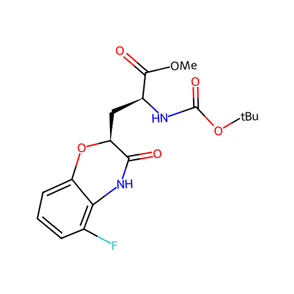 COC(=O)[C@H](C[C@@H]1Oc2cccc(F)c2NC1=O)NC(=O)OC(C)(C)C